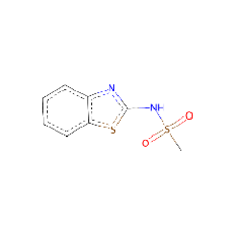 CS(=O)(=O)Nc1nc2ccccc2s1